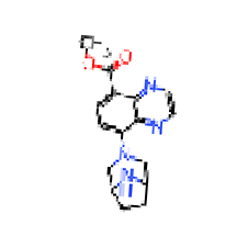 COC(=O)c1ccc(N2CC3CCC(C2)N3)c2nccnc12